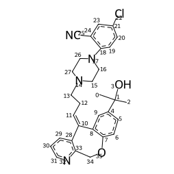 CC(C)(O)c1ccc2c(c1)/C(=C\CCN1CCN(c3ccc(Cl)cc3C#N)CC1)c1cccnc1CO2